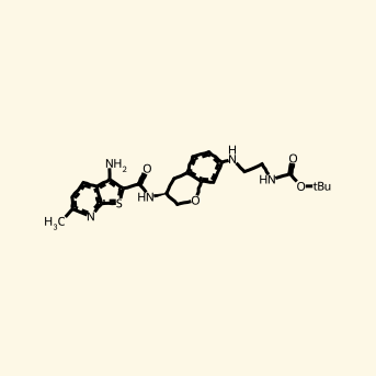 Cc1ccc2c(N)c(C(=O)N[C@@H]3COc4cc(NCCNC(=O)OC(C)(C)C)ccc4C3)sc2n1